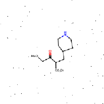 CCOC(=O)C(CC1CCNCC1)C(=O)COC